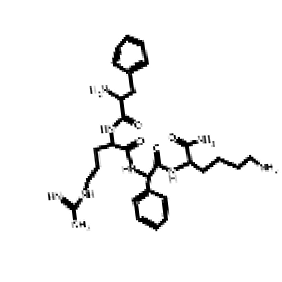 N=C(N)NCCCC(NC(=O)C(N)Cc1ccccc1)C(=O)NC(C(=O)NC(CCCCN)C(N)=O)c1ccccc1